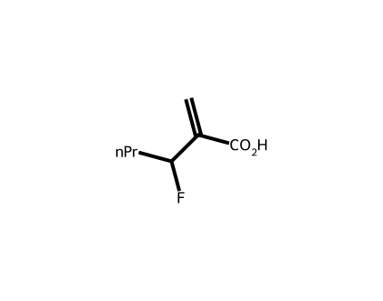 C=C(C(=O)O)C(F)CCC